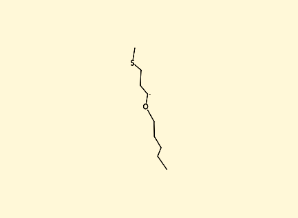 CCCCCO[CH]CCSC